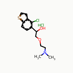 CN(C)CCOCC(O)c1ccc2sccc2c1Cl.Cl